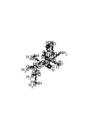 N=C(N)NCCC[C@H](NC(=O)[C@H](CS)NC(=O)[C@H](CCCNC(N)=O)NC(=O)[C@H](CCCNC(=N)N)NC(=O)[C@H](Cc1ccc(O)cc1)NC(=O)[C@@H]1CCCN1C(=O)[C@@H](CCCNC(N)=O)NC(=O)[C@H](CCCCN)NC(=O)[C@H](CCCNC(N)=O)NC(=O)[C@H](Cc1ccc(O)cc1)NC(=O)[C@@H](N)CS)C(N)=O